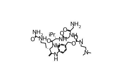 C=C(Nc1ccc(COC(=O)N(C)CCN(C)C)cc1)[C@H](CCCNC(N)=O)NC(=O)[C@@H](NC(=O)CNC(=O)CN)C(C)C